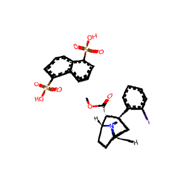 COC(=O)[C@@H]1[C@@H](c2ccccc2I)C[C@@H]2CC[C@H]1N2C.O=S(=O)(O)c1cccc2c(S(=O)(=O)O)cccc12